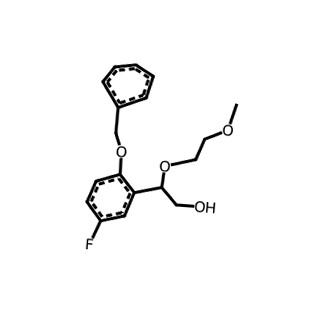 COCCOC(CO)c1cc(F)ccc1OCc1ccccc1